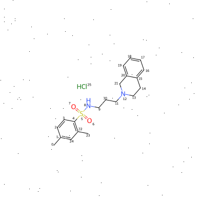 Cc1ccc(S(=O)(=O)NCCCN2CCc3ccccc3C2)c(C)c1.Cl